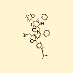 CC(C)=CC[n+]1ccc(C(=O)N2C=C(c3ccccc3)N(CC(=O)N[C@@H](Cc3ccccc3)C(=O)C3=NC(C)(C)CO3)C(=O)[C@H]2C(C)C)cc1.[Br-]